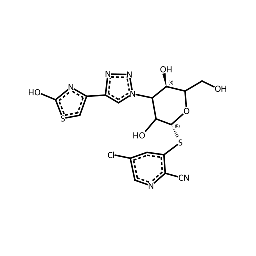 N#Cc1ncc(Cl)cc1S[C@H]1OC(CO)[C@H](O)C(n2cc(-c3csc(O)n3)nn2)C1O